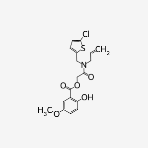 C=CCN(Cc1ccc(Cl)s1)C(=O)COC(=O)c1cc(OC)ccc1O